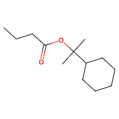 CCCC(=O)OC(C)(C)C1CCCCC1